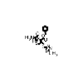 Cc1nnc(SCC2=C(C(=O)OCc3ccccc3)N3C(=O)C(N)[C@H]3SC2)s1